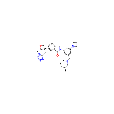 C[C@H]1CCCN(Cc2cc(N3CCC3)cc(N3Cc4ccc(C5(Cc6nncn6C)COC5)cc4C3=O)c2)C1